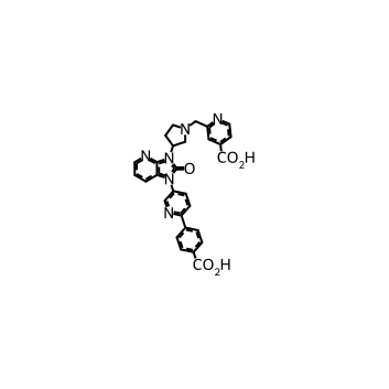 O=C(O)c1ccc(-c2ccc(-n3c(=O)n(C4CCN(Cc5cc(C(=O)O)ccn5)C4)c4ncccc43)cn2)cc1